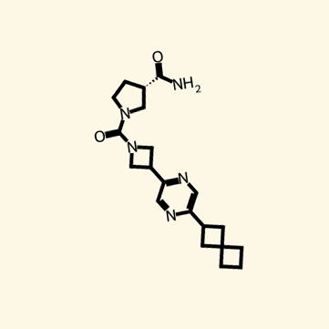 NC(=O)[C@H]1CCN(C(=O)N2CC(c3cnc(C4CC5(CCC5)C4)cn3)C2)C1